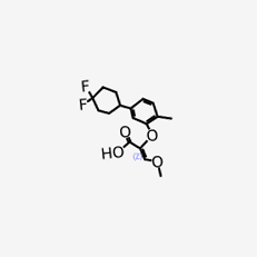 CO/C=C(\Oc1cc(C2CCC(F)(F)CC2)ccc1C)C(=O)O